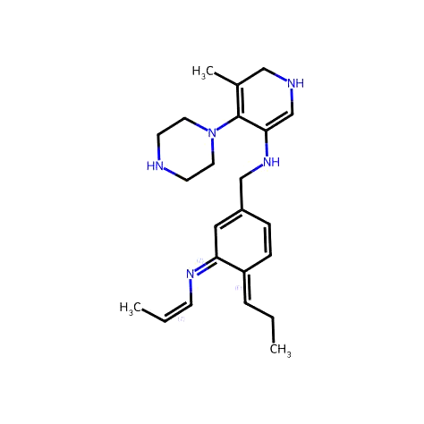 C\C=C/N=C1/C=C(CNC2=CNCC(C)=C2N2CCNCC2)C=C/C1=C\CC